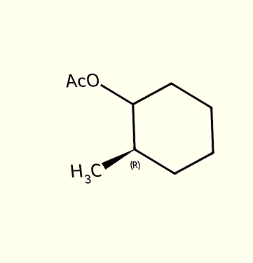 CC(=O)OC1CCCC[C@H]1C